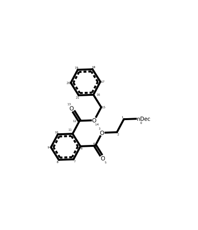 CCCCCCCCCCCCOC(=O)c1ccccc1C(=O)OCc1ccccc1